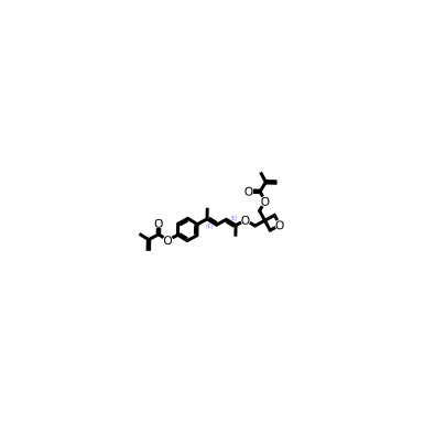 C=C(C)C(=O)OCC1(CO/C(C)=C/C=C(\C)c2ccc(OC(=O)C(=C)C)cc2)COC1